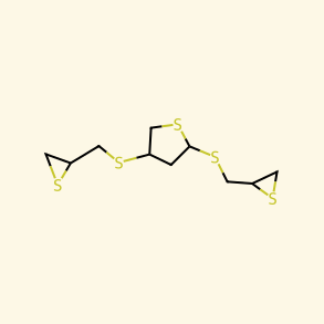 C1SC1CSC1CSC(SCC2CS2)C1